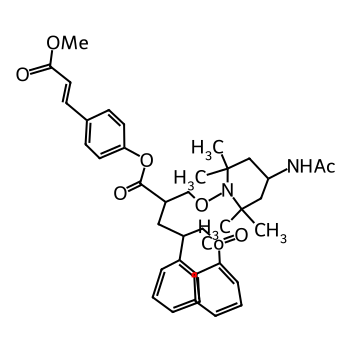 COC(=O)/C=C/c1ccc(OC(=O)C(CON2C(C)(C)CC(NC(C)=O)CC2(C)C)CC([CH2][Co](=[O])[c]2ccccc2)c2ccccc2)cc1